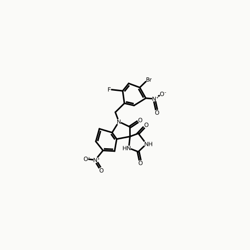 O=C1NC(=O)C2(N1)C(=O)N(Cc1cc([N+](=O)[O-])c(Br)cc1F)c1ccc([N+](=O)[O-])cc12